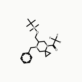 CC(C)(C)[Si](C)(C)OCC1CN(C(=O)C(F)(F)F)C2(CC2)CN1Cc1ccccc1